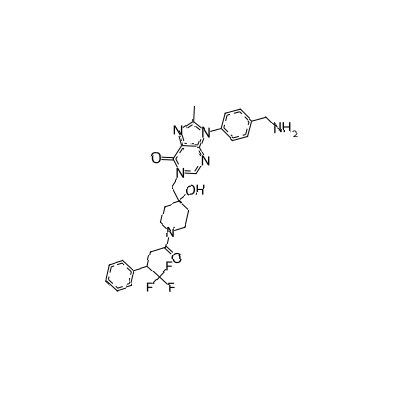 Cc1nc2c(=O)n(CC3(O)CCN(C(=O)CC(c4ccccc4)C(F)(F)F)CC3)cnc2n1-c1ccc(CN)cc1